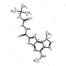 CNc1nc2sc(C(=O)NCC(=O)OC(C)(C)C)nc2c2c1ncn2C